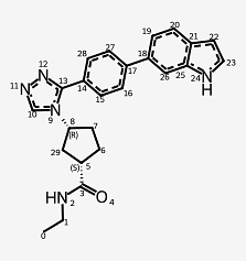 CCNC(=O)[C@H]1CC[C@@H](n2cnnc2-c2ccc(-c3ccc4cc[nH]c4c3)cc2)C1